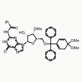 CO[C@H]1[C@@H](O)[C@H](n2cnc3c(=O)[nH]c(NC(=O)C(C)C)nc32)O[C@@H]1COC(C1=CCC(OC)(OC)C=C1)(c1ccccc1)c1ccccc1